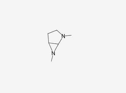 CN1CCC2C1N2C